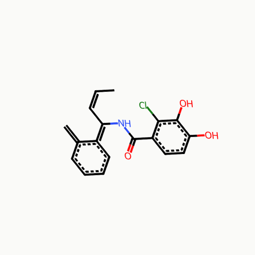 C=c1cccc/c1=C(/C=C\C)NC(=O)c1ccc(O)c(O)c1Cl